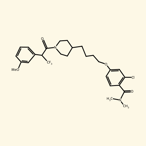 COc1cccc(C(C(=O)N2CCC(CCCCOc3ccc(C(=O)N(C)C)c(Cl)c3)CC2)C(F)(F)F)c1